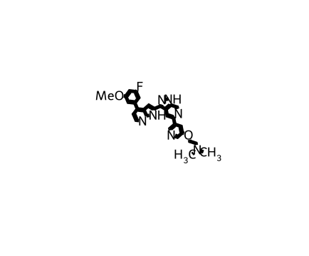 COc1cc(F)cc(-c2ccnc3[nH]c(-c4n[nH]c5cnc(-c6cncc(OCCN(C)C)c6)cc45)cc23)c1